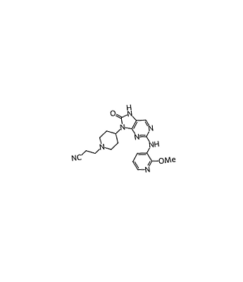 COc1ncccc1Nc1ncc2[nH]c(=O)n(C3CCN(CCC#N)CC3)c2n1